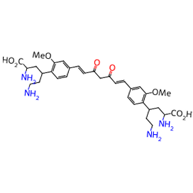 COc1cc(C=CC(=O)CC(=O)C=Cc2ccc(C(CCN)CC(N)C(=O)O)c(OC)c2)ccc1C(CCN)CC(N)C(=O)O